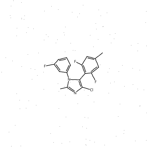 Cc1cc(F)c(-c2c(Cl)nc(C)n2-c2cccc(F)c2)c(F)c1